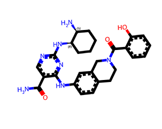 NC(=O)c1cnc(N[C@@H]2CCCC[C@@H]2N)nc1Nc1ccc2c(c1)CN(C(=O)c1ccccc1O)CC2